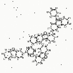 c1ccc(-c2nc(-c3ccc4c(c3)oc3ccccc34)nc(-c3cccc4oc5ccc(-c6cccc7oc8c(-c9ccc%10c(c9)c9ccccc9n%10-c9ccccc9)cccc8c67)cc5c34)n2)cc1